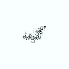 Cc1ccc(F)cc1C(=O)Nc1ccc(C(=O)N2Cc3ccc(C(=O)NN(C)C)n3Cc3ccccc32)c(Cl)c1